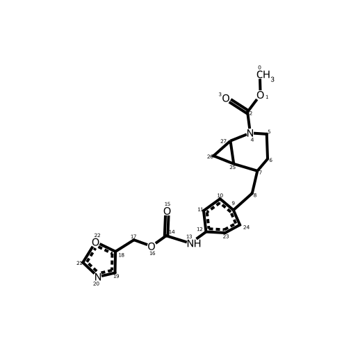 COC(=O)N1CCC(Cc2ccc(NC(=O)OCc3cnco3)cc2)C2CC21